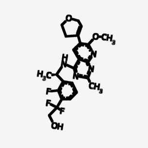 COc1nc2nc(C)nc(N[C@H](C)c3cccc(C(F)(F)CO)c3F)c2cc1C1=CCOCC1